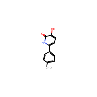 O=Cc1ccc(-c2ccc(O)c(=O)[nH]2)cc1